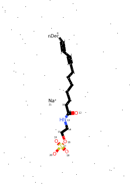 CCCCCCCCCCC#CC#CCCCCCCC(=O)NCCOS(=O)(=O)[O-].[Na+]